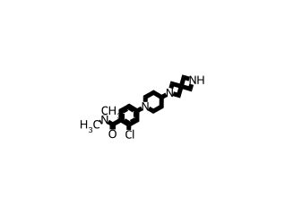 CN(C)C(=O)c1ccc(N2CCC(N3CC4(CNC4)C3)CC2)cc1Cl